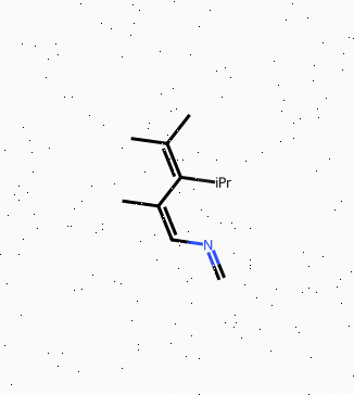 C=N/C=C(/C)C(=C(C)C)C(C)C